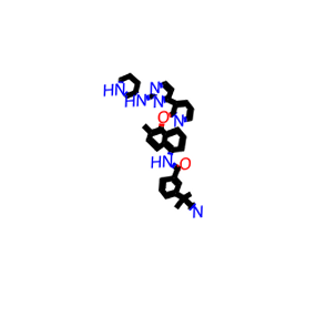 Cc1ccc2c(NC(=O)c3cccc(C(C)(C)C#N)c3)cccc2c1Oc1ncccc1-c1ccnc(NC2CCCNC2)n1